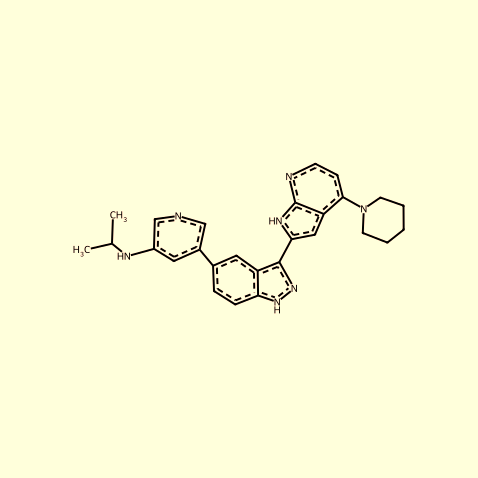 CC(C)Nc1cncc(-c2ccc3[nH]nc(-c4cc5c(N6CCCCC6)ccnc5[nH]4)c3c2)c1